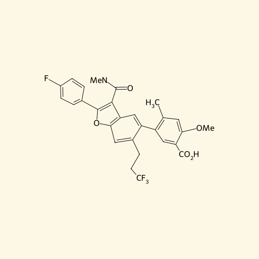 CNC(=O)c1c(-c2ccc(F)cc2)oc2cc(CCC(F)(F)F)c(-c3cc(C(=O)O)c(OC)cc3C)cc12